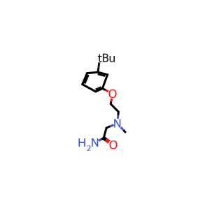 CN(CCOc1cccc(C(C)(C)C)c1)CC(N)=O